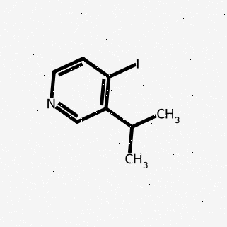 CC(C)c1cnccc1I